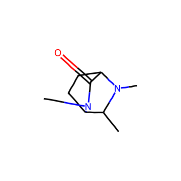 CC1C2CCC(C(=O)N2C)N1C